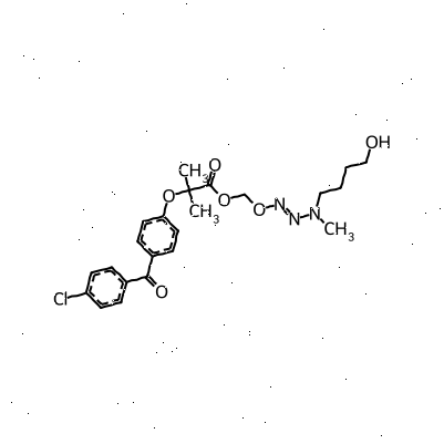 CN(CCCCO)N=NOCOC(=O)C(C)(C)Oc1ccc(C(=O)c2ccc(Cl)cc2)cc1